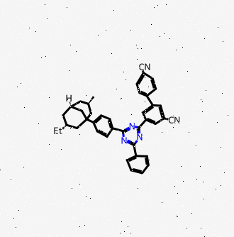 CC[C@H]1C[C@H]2C[C@@H](C)CC(c3ccc(-c4nc(-c5ccccc5)nc(-c5cc(C#N)cc(-c6ccc(C#N)cc6)c5)n4)cc3)(C2)C1